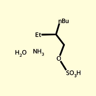 CCCCC(CC)COS(=O)(=O)O.N.O